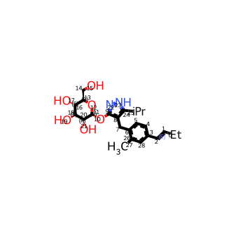 CC/C=C/c1ccc(Cc2c(O[C@@H]3O[C@H](CO)[C@@H](O)[C@H](O)[C@H]3O)n[nH]c2C(C)C)c(C)c1